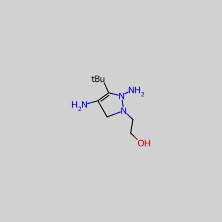 CC(C)(C)C1=C(N)CN(CCO)N1N